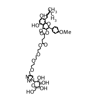 COc1ccc(-c2oc3c(CC=C(C)C)c(O)cc(O)c3c(=O)c2OC(=O)CCC(=O)OCCOCCOCCOCc2cn(C3O[C@H](CO)[C@@H](O)[C@H](O)[C@H]3O)nn2)cc1